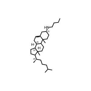 CCCCN[C@H]1CCC2(C)C(=CC[C@H]3C2CCC2(C)C([C@H](C)CCCC(C)C)CC[C@@H]32)C1